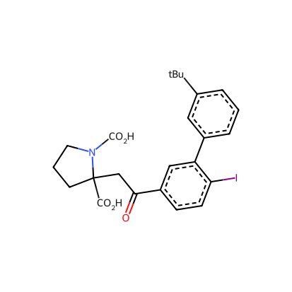 CC(C)(C)c1cccc(-c2cc(C(=O)CC3(C(=O)O)CCCN3C(=O)O)ccc2I)c1